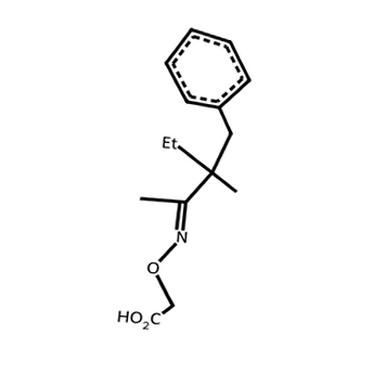 CCC(C)(Cc1ccccc1)C(C)=NOCC(=O)O